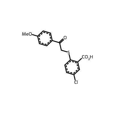 COc1ccc(C(=O)CSc2ccc(Cl)cc2C(=O)O)cc1